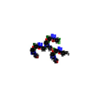 O=C(Nc1ccc(Cl)c(F)c1)Nc1cc(F)c(Oc2ccc3ncc(N4CCOCC4)nc3c2)c(F)c1.O=C(Nc1cccc(C(F)(F)F)c1)Nc1cc(F)c(Oc2ccc3ncc(N4CCOCC4)nc3c2)c(F)c1.O=C(Nc1cccc(F)c1)Nc1cc(F)c(Oc2ccc3ncc(N4CCOCC4)nc3c2)c(F)c1